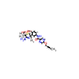 CC#CCOc1cnc(C(=O)Nc2ccc(F)c([C@]3(C)CS(O)(O)C(C)(C)C(N)=N3)c2)cn1